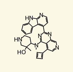 CN(c1nc(-c2ccnc3[nH]c4ccccc4c23)nc2cncc(C3=CC=C3)c12)C1CCNCC1(C)O